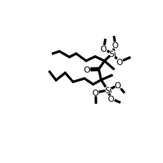 CCCCCCC(C)(C(=O)C(C)(CCCCCC)[Si](OC)(OC)OC)[Si](OC)(OC)OC